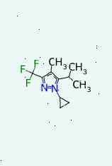 Cc1c(C(F)(F)F)nn(C2CC2)c1C(C)C